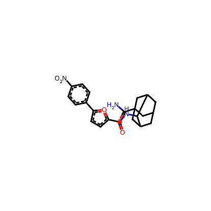 NC(=O)C12CC3CC(C1)C(NC(=O)c1ccc(-c4ccc([N+](=O)[O-])cc4)o1)C(C3)C2